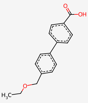 CCOCc1ccc(-c2ccc(C(=O)O)cc2)cc1